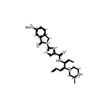 C=C/C=C(\C(=C/C)NC(=O)c1csc(N2Cc3ccc(OC)cc3C2=O)n1)N1CCN[C@@H](C)C1